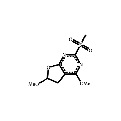 COc1nc(S(C)(=O)=O)nc2c1CC(OC)O2